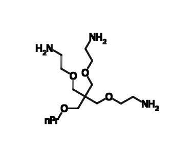 CCCOCC(COCCN)(COCCN)COCCN